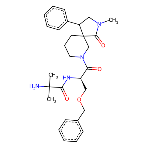 CN1CC(c2ccccc2)C2(CCCN(C(=O)[C@@H](COCc3ccccc3)NC(=O)C(C)(C)N)C2)C1=O